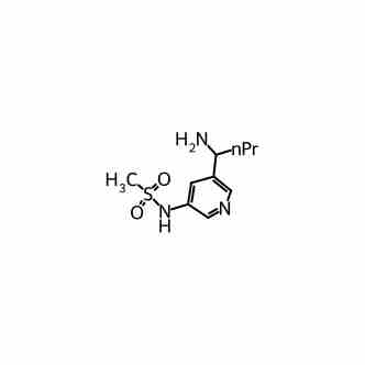 CCCC(N)c1cncc(NS(C)(=O)=O)c1